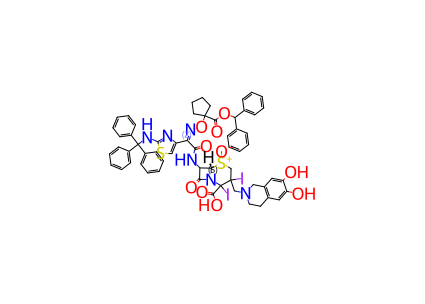 O=C(NC1C(=O)N2[C@H]1[S+]([O-])CC(I)(CN1CCc3cc(O)c(O)cc3C1)C2(I)C(=O)O)/C(=N\OC1(C(=O)OC(c2ccccc2)c2ccccc2)CCCC1)c1csc(NC(c2ccccc2)(c2ccccc2)c2ccccc2)n1